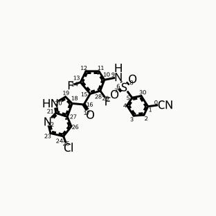 N#Cc1cccc(S(=O)(=O)Nc2ccc(F)c(C(=O)c3c[nH]c4ncc(Cl)cc34)c2F)c1